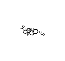 CC(=O)[C@H]1CC[C@H]2[C@@H]3CC=C4CC(OC=O)CC[C@]4(C)[C@H]3CC[C@]12C